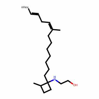 CCCCCC/C=C/C/C=C(/C)CCCCCCCC1(NCCO)CCC1C